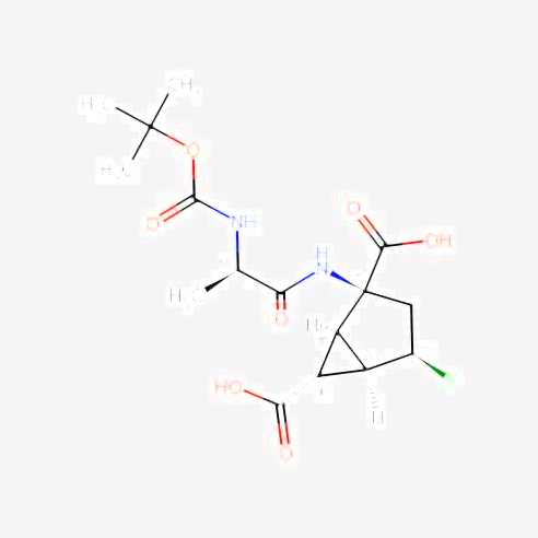 C[C@@H](NC(=O)OC(C)(C)C)C(=O)N[C@@]1(C(=O)O)C[C@@H](F)[C@H]2[C@H](C(=O)O)[C@H]21